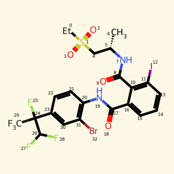 CCS(=O)(=O)C[C@H](C)NC(=O)c1c(I)cccc1C(=O)Nc1ccc(C(F)(C(F)F)C(F)(F)F)cc1Br